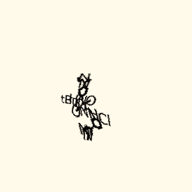 Cn1cc(-c2ccc(Cl)c(CC(NC(=O)OC(C)(C)C)C(=O)Nc3ccc(-n4ccnc4)cc3)c2)cn1